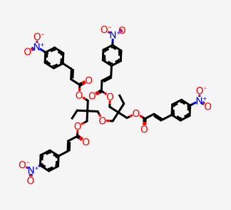 CCC(COCC(CC)(COC(=O)/C=C/c1ccc([N+](=O)[O-])cc1)COC(=O)/C=C/c1ccc([N+](=O)[O-])cc1)(COC(=O)/C=C/c1ccc([N+](=O)[O-])cc1)COC(=O)/C=C/c1ccc([N+](=O)[O-])cc1